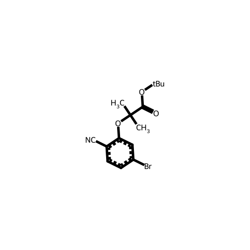 CC(C)(C)OC(=O)C(C)(C)Oc1cc(Br)ccc1C#N